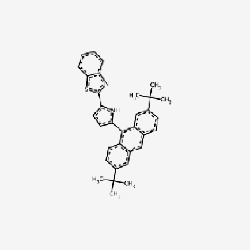 CC(C)(C)c1ccc2c(-c3ccc(-c4nc5ccccc5s4)[nH]3)c3cc(C(C)(C)C)ccc3cc2c1